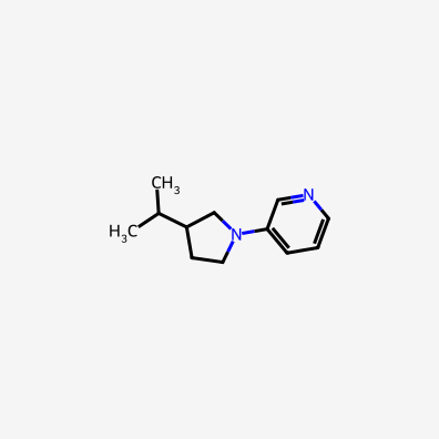 CC(C)C1CCN(c2cccnc2)C1